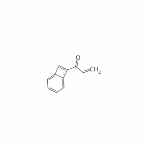 C=CC(=O)C1=Cc2ccccc21